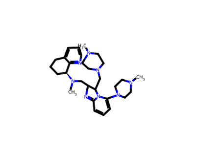 CN1CCN(CC2C(CN(C)[C@H]3CCCc4cccnc43)N=C3C=CC=C(N4CCN(C)CC4)N32)CC1